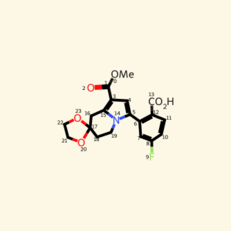 COC(=O)c1cc(-c2cc(F)ccc2C(=O)O)n2c1CC1(CC2)OCCO1